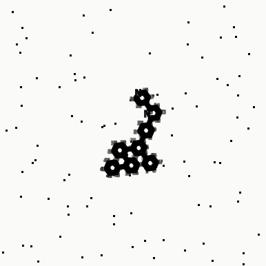 c1ccc(-c2cc(-c3ccc(-c4cccc(-c5ccncc5)n4)cc3)cc(-c3ccccc3-c3ccccc3-c3ccccc3)c2)cc1